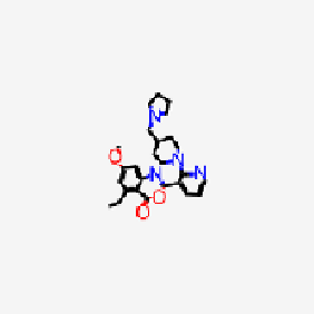 CCc1cc(OC)cc2nc(-c3cccnc3N3CCC(CN4CCCC4)CC3)oc(=O)c12